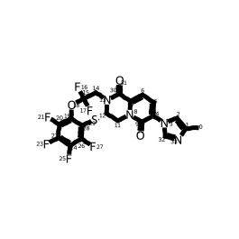 Cc1cn(-c2ccc3n(c2=O)CCN(CC(F)(F)Oc2c(F)c(F)c(F)c(F)c2[S])C3=O)cn1